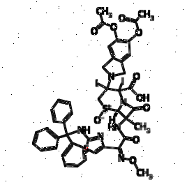 CO/N=C(\C(=O)NC1(C)C(=O)N2[C@H]1[S+]([O-])CC(I)(N1Cc3cc(OC(C)=O)c(OC(C)=O)cc3C1)C2(I)C(=O)O)c1csc(NC(c2ccccc2)(c2ccccc2)c2ccccc2)n1